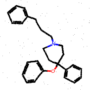 c1ccc(CCCN2CCC(Oc3ccccc3)(c3ccccc3)CC2)cc1